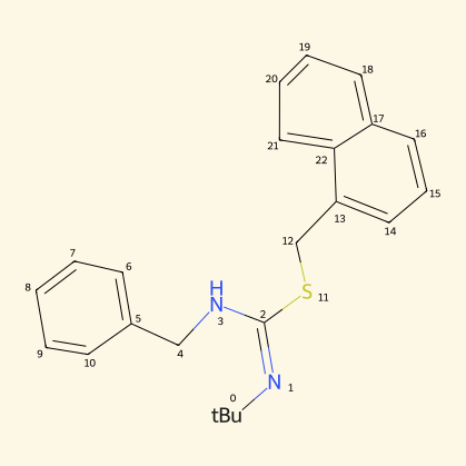 CC(C)(C)/N=C(\NCc1ccccc1)SCc1cccc2ccccc12